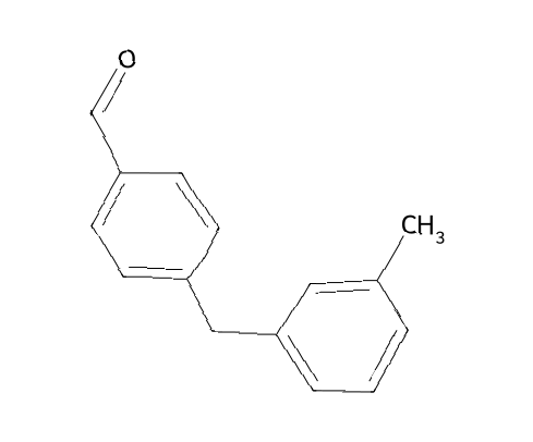 Cc1cccc(Cc2ccc(C=O)cc2)c1